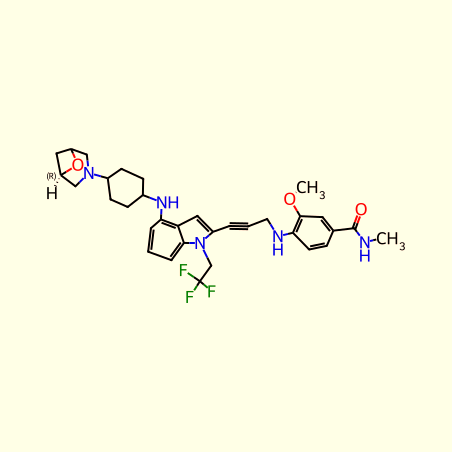 CNC(=O)c1ccc(NCC#Cc2cc3c(NC4CCC(N5CC6C[C@H](C5)O6)CC4)cccc3n2CC(F)(F)F)c(OC)c1